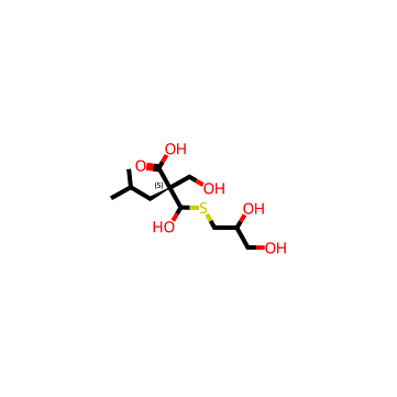 CC(C)C[C@](CO)(C(=O)O)C(O)SCC(O)CO